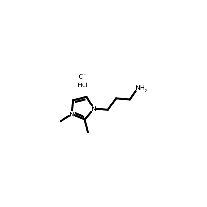 Cc1n(CCCN)cc[n+]1C.Cl.[Cl-]